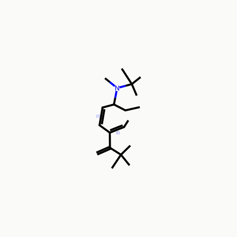 C=C(C(/C=C\C(CC)N(C)C(C)(C)C)=C/C)C(C)(C)C